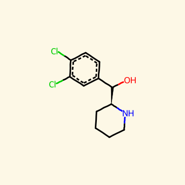 OC(c1ccc(Cl)c(Cl)c1)[C@@H]1CCCCN1